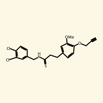 C#CCOc1ccc(CCC(=S)NCc2ccc(Cl)c(Cl)c2)cc1OC